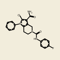 NC(=O)c1c2c(n(-c3ccccc3)c1Cl)CCN(C(=O)Nc1ccc(F)cc1)C2